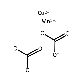 O=C([O-])[O-].O=C([O-])[O-].[Cu+2].[Mn+2]